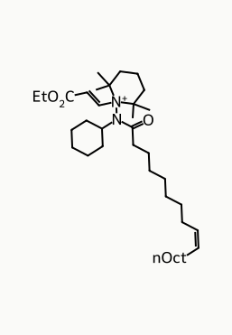 CCCCCCCC/C=C\CCCCCCCC(=O)N(C1CCCCC1)[N+]1(C=CC(=O)OCC)C(C)(C)CCCC1(C)C